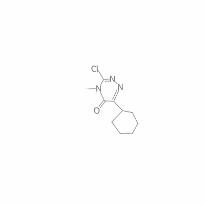 Cn1c(Cl)nnc(C2CCCCC2)c1=O